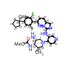 COC(=O)N[C@@H]1[C@H](N)CN(c2ccncc2Nc2ncc3ccc(-c4c(F)cc(C5(OC)CCCC5)cc4F)nn23)C[C@@H]1C